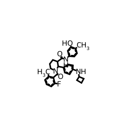 Cc1ccc(NC(=O)C2CCCN(C(=O)c3c(C)cccc3F)C2c2ccc(NC3CCC3)cc2)cc1O